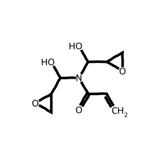 C=CC(=O)N(C(O)C1CO1)C(O)C1CO1